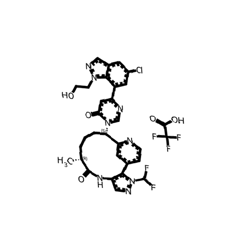 C[C@@H]1CCC[C@H](n2cnc(-c3cc(Cl)cc4cnn(CCO)c34)cc2=O)c2cc(ccn2)-c2c(cnn2C(F)F)NC1=O.O=C(O)C(F)(F)F